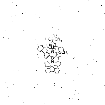 Cc1cc2c3c(c1)N(c1ccc(C(C)(C)C)cc1-c1ccccc1)c1c(ccc4c1C(C)(C)c1ccccc1-4)B3N1c3ccccc3C3(c4ccccc4-c4ccccc43)c3cccc-2c31